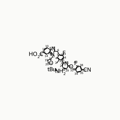 CC(C)(C)N.Cc1cc(Cc2nc3ccc(C(=O)O)cc3n2C[C@@H]2CCO2)c(F)cc1-c1cccc(OCc2ccc(C#N)cc2F)n1